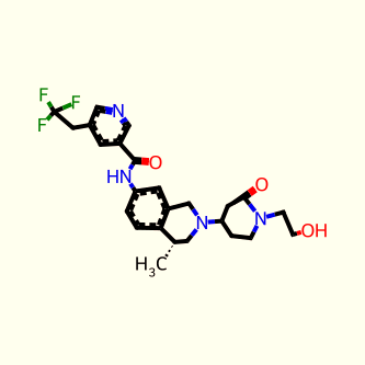 C[C@H]1CN(C2CCN(CCO)C(=O)C2)Cc2cc(NC(=O)c3cncc(CC(F)(F)F)c3)ccc21